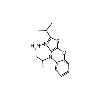 CC(C)c1sc2c([n+]1N)N(C(C)C)c1ccccc1O2